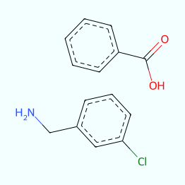 NCc1cccc(Cl)c1.O=C(O)c1ccccc1